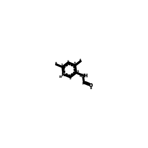 Cc1cc(C)c(N[C]=O)cn1